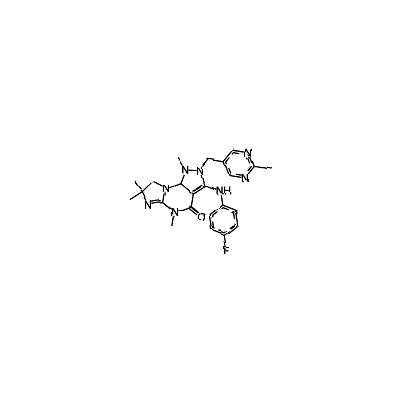 Cc1ncc(CN2C(Nc3ccc(F)cc3)=C3C(=O)N(C)C4=NC(C)(C)CN4C3N2C)cn1